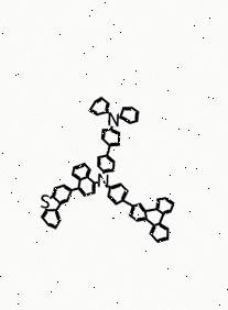 c1ccc(N(c2ccccc2)c2ccc(-c3ccc(N(c4ccc(-c5ccc6c7ccccc7c7ccccc7c6c5)cc4)c4ccc(-c5ccc6sc7ccccc7c6c5)c5ccccc45)cc3)cc2)cc1